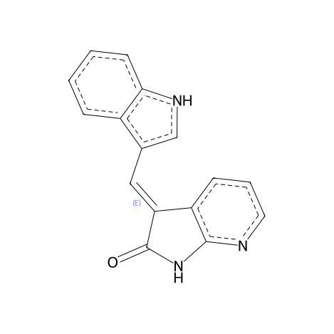 O=C1Nc2ncccc2/C1=C\c1c[nH]c2ccccc12